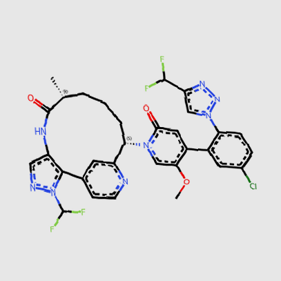 COc1cn([C@H]2CCC[C@@H](C)C(=O)Nc3cnn(C(F)F)c3-c3ccnc2c3)c(=O)cc1-c1cc(Cl)ccc1-n1cc(C(F)F)nn1